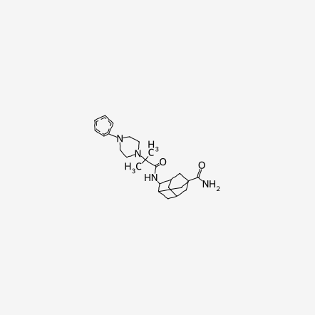 CC(C)(C(=O)NC1C2CC3CC1CC(C(N)=O)(C3)C2)N1CCN(c2ccccc2)CC1